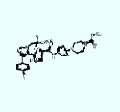 COC(F)(F)Cn1cnc(-c2ccc(F)cc2)c1-c1nc(C(=O)Nc2ccc(N3CCN(C(=O)OC(C)(C)C)CC3)cc2)c[nH]1